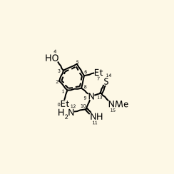 CCc1cc(O)cc(CC)c1N(C(=N)N)C(=S)NC